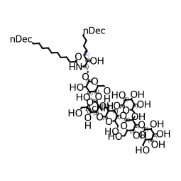 CCCCCCCCCCCCC/C=C/[C@@H](O)[C@H](CO[C@@H]1OC(CO)[C@@H](O[C@@H]2OC(CO)[C@H](O)[C@H](O[C@@H]3OC(CO)[C@@H](O[C@@H]4OC(CO)[C@H](O)[C@H](O[C@H]5OC(CO)[C@H](O)[C@H](O)C5O)C4O)[C@H](O[C@H]4OC(C)[C@@H](O)C(O)[C@@H]4O)C3NC(C)=O)C2O)[C@H](O)C1O)NC(=O)CCCCCCCCCCCCCCCCCCC